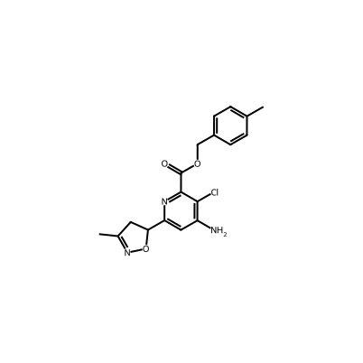 CC1=NOC(c2cc(N)c(Cl)c(C(=O)OCc3ccc(C)cc3)n2)C1